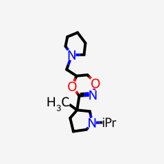 CC(C)N1CCCC(C)(C2=NOCC(CN3CCCCC3)O2)C1